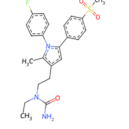 CCN(CCc1cc(-c2ccc(S(C)(=O)=O)cc2)n(-c2ccc(F)cc2)c1C)C(N)=O